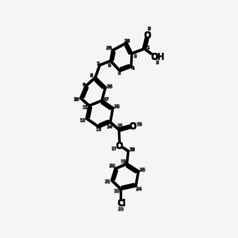 O=C(O)c1ccc(Cc2ccc3ccc(C(=O)OCc4ccc(Cl)cc4)cc3c2)cc1